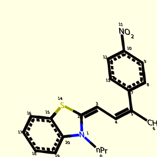 CCCN1C(=CC=C(C=O)c2ccc([N+](=O)[O-])cc2)Sc2ccccc21